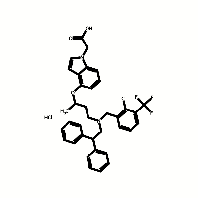 CC(CCN(Cc1cccc(C(F)(F)F)c1Cl)CC(c1ccccc1)c1ccccc1)Oc1cccc2c1ccn2CC(=O)O.Cl